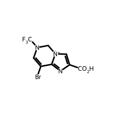 O=C(O)C1=C[N+]2CN(C(F)(F)F)C=C(Br)C2=N1